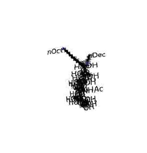 CCCCCCCC/C=C\CCCCCCCCCCCCCC(=O)N[C@@H](CO[C@@H]1OC(CO)[C@@H](O[C@@H]2OC(CO)[C@H](O)[C@H](O[C@@H]3OC(CO)[C@@H](O)[C@H](O[C@@H]4OC(CO)[C@H](O)[C@H](O)C4O[C@H]4OC(C)[C@@H](O)C(O)[C@@H]4O)C3NC(C)=O)C2O)[C@H](O)C1O)[C@H](O)/C=C/CCCCCCCCCCCCC